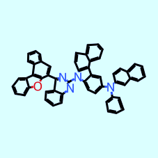 c1ccc(N(c2ccc3ccccc3c2)c2ccc3c(c2)c2c4ccccc4ccc2n3-c2nc(-c3cc4ccccc4c4c3oc3ccccc34)c3ccccc3n2)cc1